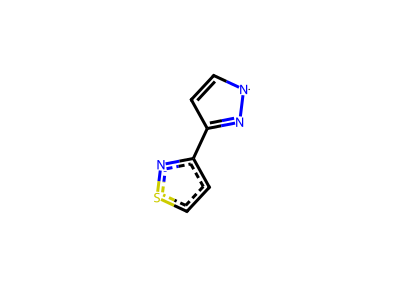 C1=CC(c2ccsn2)=N[N]1